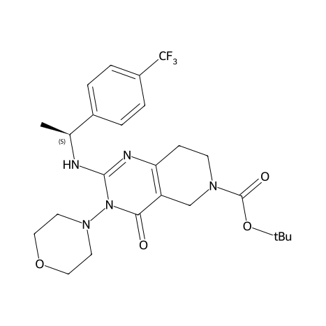 C[C@H](Nc1nc2c(c(=O)n1N1CCOCC1)CN(C(=O)OC(C)(C)C)CC2)c1ccc(C(F)(F)F)cc1